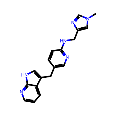 Cn1cnc(CNc2ccc(Cc3c[nH]c4ncccc34)cn2)c1